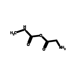 CNC(=O)OC(=O)CN